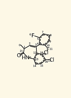 CC1C=C(c2c(F)cccc2F)c2c(ccc(Cl)c2Cl)NC1=O